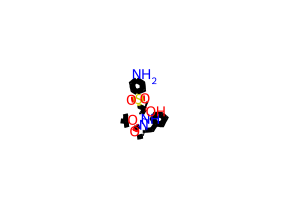 CC[C@@H](Cc1ccccc1)N(NC[C@@](C)(O)CS(=O)(=O)c1ccc(N)cc1)C(=O)OC(C)(C)C